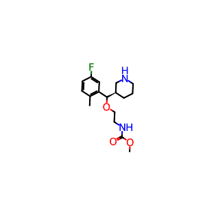 COC(=O)NCCOC(c1cc(F)ccc1C)[C@@H]1CCCNC1